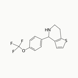 FC(F)(F)Oc1ccc(C2NCCc3sccc32)cc1